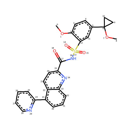 COc1ccc(C2(OC)CC2)cc1S(=O)(=O)NC(=O)c1ccc2c(-c3ccccn3)cccc2n1